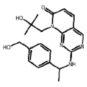 CC(Nc1ncc2ccc(=O)n(CC(C)(C)O)c2n1)c1ccc(CO)cc1